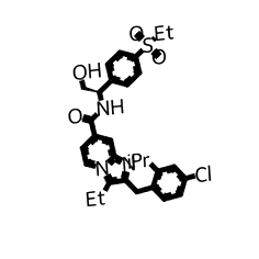 CCc1c(Cc2ccc(Cl)cc2C(C)C)nc2cc(C(=O)N[C@@H](CO)c3ccc(S(=O)(=O)CC)cc3)ccn12